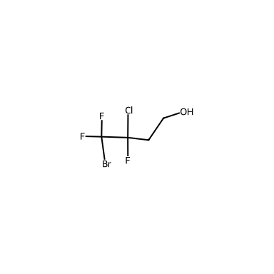 OCCC(F)(Cl)C(F)(F)Br